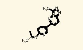 C[C@H](Oc1ccc(-c2ccc3nnc(C(F)(F)F)n3n2)cn1)C(F)(F)F